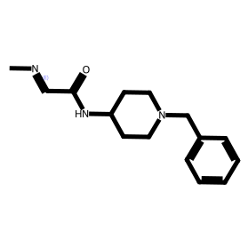 C/N=C/C(=O)NC1CCN(Cc2ccccc2)CC1